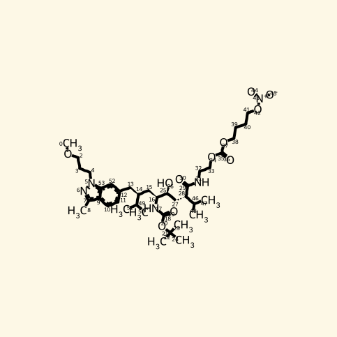 COCCCn1nc(C)c2ccc(C[C@@H](C[C@H](NC(=O)OC(C)(C)C)[C@@H](O)C[C@H](C(=O)NCCOC(=O)OCCCCO[N+](=O)[O-])C(C)C)C(C)C)cc21